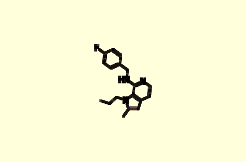 CCCn1c(C)cc2ccnc(NCc3ccc(F)cc3)c21